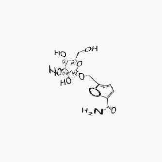 NC(=O)c1ccc(CO[C@@H]2O[C@H](CO)[C@@H](O)[C@H](O)[C@H]2O)o1